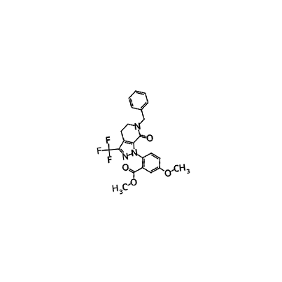 COC(=O)c1cc(OC)ccc1-n1nc(C(F)(F)F)c2c1C(=O)N(Cc1ccccc1)CC2